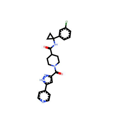 O=C(NC1(c2cccc(Cl)c2)CC1)C1CCN(C(=O)c2cc(-c3ccncc3)[nH]n2)CC1